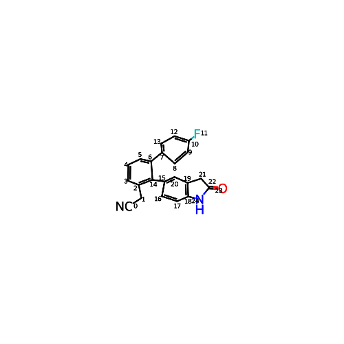 N#CCc1cccc(-c2ccc(F)cc2)c1-c1ccc2c(c1)CC(=O)N2